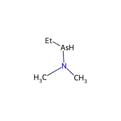 CC[AsH]N(C)C